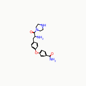 NC(=O)c1ccc(Oc2ccc(CC(N)C(=O)N3CCNCC3)cc2)cc1